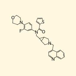 O=C(c1cccs1)N(CC1C2CN(Cc3ccnc4ccccc34)CC21)c1ccc(N2CCOCC2)c(F)c1